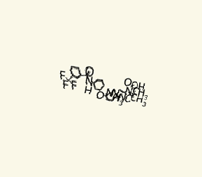 CC(C)(C)N(C(=O)O)c1cn2nc(Oc3cccc(NC(=O)c4cccc(C(F)(F)F)c4)c3)ccc2n1